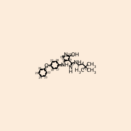 CC(C)(C)CCNC(=N)c1c(O)nsc1Nc1ccc(Oc2ccccc2)cc1